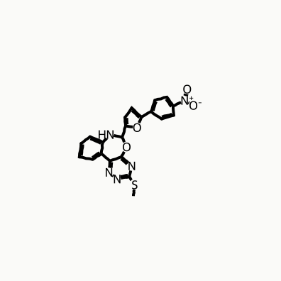 CSc1nnc2c(n1)OC(c1ccc(-c3ccc([N+](=O)[O-])cc3)o1)Nc1ccccc1-2